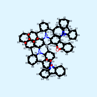 c1ccc(-c2cc3c4c(c2)N(c2c(-c5ccccc5)cccc2-c2ccccc2)c2cc(-n5c6ccccc6c6ccccc65)c5c(oc6ccccc65)c2B4c2ccc(-n4c5ccccc5c5ccccc54)cc2N3c2c(-c3ccccc3)cccc2-c2ccccc2)cc1